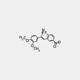 COc1ccc(C(C#N)=Cc2cc([N+](=O)[O-])ccc2F)cc1OC